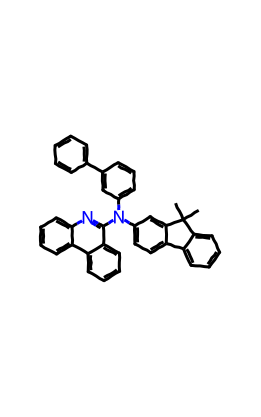 CC1(C)c2ccccc2-c2ccc(N(c3cccc(-c4ccccc4)c3)c3nc4ccccc4c4ccccc34)cc21